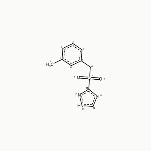 Cc1cccc(CS(=O)(=O)c2nc[nH]n2)c1